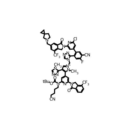 Cn1cnnc1-c1c[n+](Cn2cnnc2-c2cc(F)c(C#N)cc2-c2cc(Cl)nc(N3Cc4c(cc(CN5CCC6(CC6)C5)cc4C(F)(F)F)C3=O)c2)n(C)c1-c1cc(N(CCCCC#N)C(=O)OC(C)(C)C)nc(N2Cc3c(cccc3C(F)(F)F)C2=O)c1